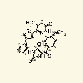 CC1CC(=O)NN=C1c1cc(-n2ccnc2)cs1.CSc1ccc(C(=O)c2[nH]c(=O)[nH]c2C)cc1